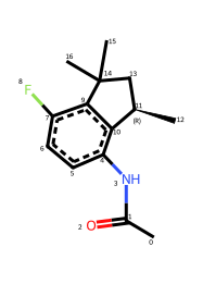 CC(=O)Nc1ccc(F)c2c1[C@H](C)CC2(C)C